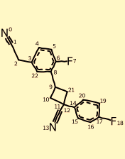 N#CCc1ccc(F)c(C2CC(C#N)(c3ccc(F)cc3)C2)c1